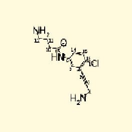 NCC#Cc1cc(NC(=O)CCCN)ccc1Cl